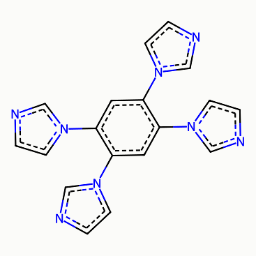 c1cn(-c2cc(-n3ccnc3)c(-n3ccnc3)cc2-n2ccnc2)cn1